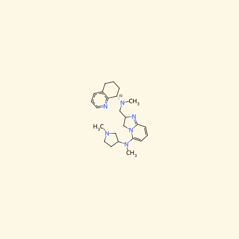 CN1CCC(N(C)C2=CC=CC3=NC(CN(C)[C@H]4CCCc5cccnc54)CN23)C1